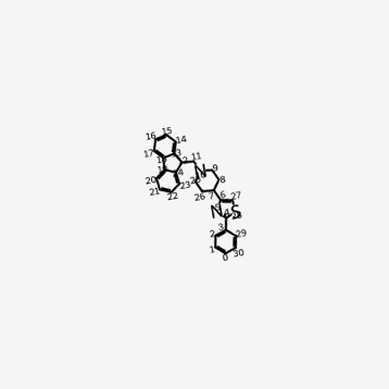 c1ccc(-c2nc(C3CCN(CC4c5ccccc5-c5ccccc54)CC3)cs2)cc1